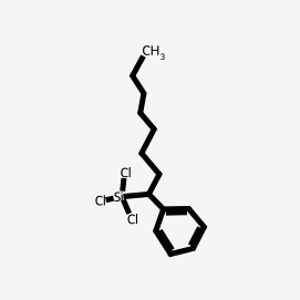 CCCCCCCC(c1ccccc1)[Si](Cl)(Cl)Cl